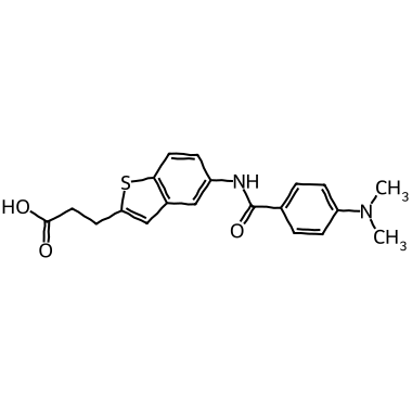 CN(C)c1ccc(C(=O)Nc2ccc3sc(CCC(=O)O)cc3c2)cc1